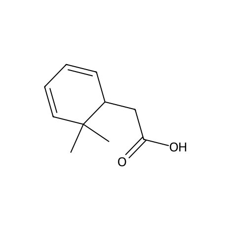 CC1(C)C=CC=CC1CC(=O)O